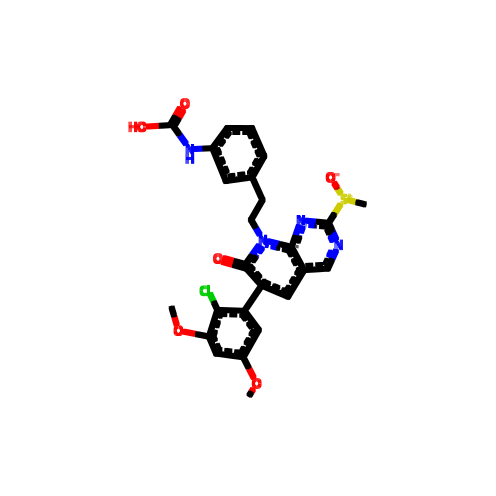 COc1cc(OC)c(Cl)c(-c2cc3cnc([S+](C)[O-])nc3n(CCc3cccc(NC(=O)O)c3)c2=O)c1